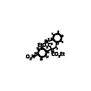 CCOC(=O)C(Cc1ccccc1Br)(C(=O)OCC)c1ccc([N+](=O)[O-])cc1